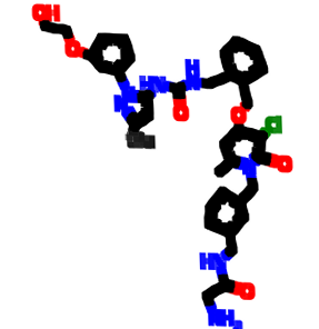 Cc1cc(OCc2ccccc2CNC(=O)Nc2cc(C(C)(C)C)nn2-c2cccc(OCCO)c2)c(Cl)c(=O)n1Cc1cccc(CNC(=O)CN)c1